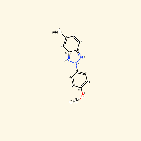 COc1ccc2nn(-c3ccc(O[C]=O)cc3)nc2c1